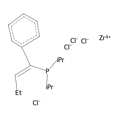 CCC=C(c1ccccc1)P(C(C)C)C(C)C.[Cl-].[Cl-].[Cl-].[Cl-].[Zr+4]